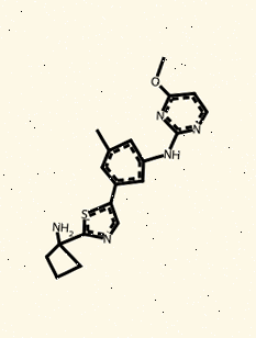 COc1ccnc(Nc2cc(C)cc(-c3cnc(C4(N)CCC4)s3)c2)n1